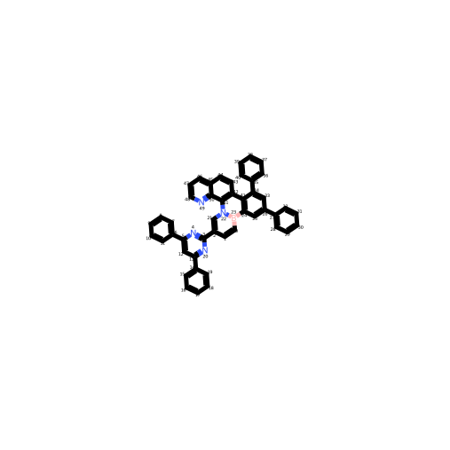 C1=CC(c2nc(-c3ccccc3)cc(-c3ccccc3)n2)=CN2B1c1cc(-c3ccccc3)cc(-c3ccccc3)c1-c1ccc3cccnc3c12